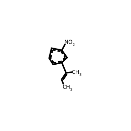 C/C=C(\C)c1cccc([N+](=O)[O-])c1